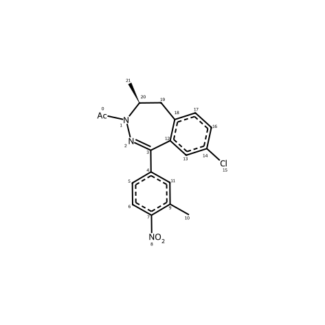 CC(=O)N1N=C(c2ccc([N+](=O)[O-])c(C)c2)c2cc(Cl)ccc2C[C@@H]1C